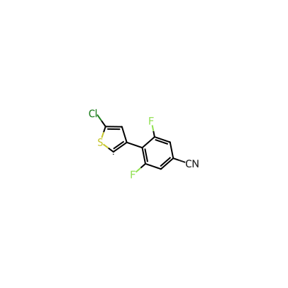 N#Cc1cc(F)c(-c2[c]sc(Cl)c2)c(F)c1